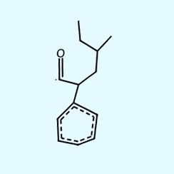 CCC(C)CC([C]=O)c1ccccc1